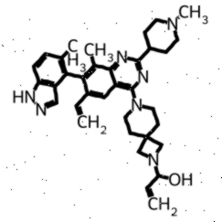 C=Cc1cc2c(N3CCC4(CC3)CN(C(O)C=C)C4)nc(C3CCN(C)CC3)nc2c(C)c1-c1c(C)ccc2[nH]ncc12